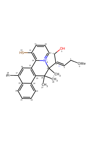 COC/C=C(\CO)C1(C)[n+]2cccc(S)c2-c2cc(C(C)C)c3ccccc3c2C1(C)C